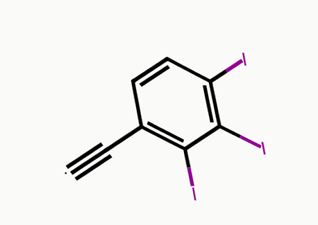 [C]#Cc1ccc(I)c(I)c1I